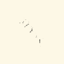 Cc1cc(NC(=O)CCC(=O)I)on1